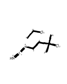 CC(C)(Cl)CCN=C=N.CCCl